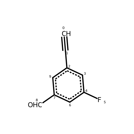 C#Cc1cc(F)cc(C=O)c1